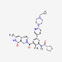 CCN(C(=O)C1CCCC1)c1cc(-c2ccc(N3CCN(CC4CC4)CC3)nc2)cc(C(=O)NCc2c(C)cc(C)[nH]c2=O)c1C